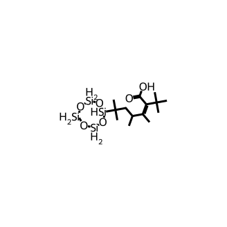 CC(=C(C(=O)O)C(C)(C)C)C(C)CC(C)(C)[SiH]1O[SiH2]O[SiH2]O[SiH2]O1